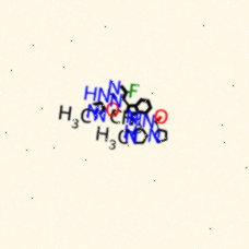 COc1nn(C)cc1Nc1ncc(F)c(-c2c[nH]c3c(NC(=O)[C@H]4CCCN4C4CCN(C)CC4)cccc23)n1